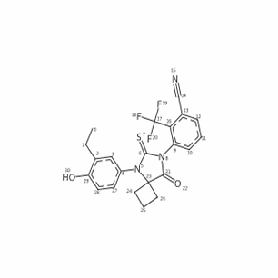 CCc1cc(N2C(=S)N(c3cccc(C#N)c3C(F)(F)F)C(=O)C23CCC3)ccc1O